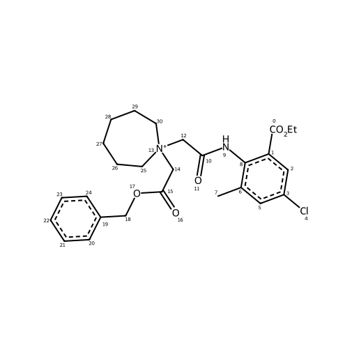 CCOC(=O)c1cc(Cl)cc(C)c1NC(=O)C[N+]1(CC(=O)OCc2ccccc2)CCCCCC1